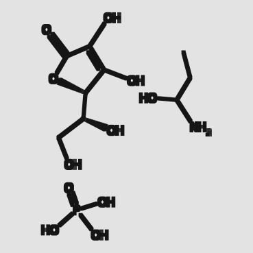 CCC(N)O.O=C1O[C@H]([C@@H](O)CO)C(O)=C1O.O=P(O)(O)O